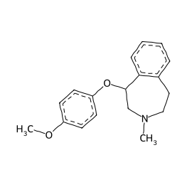 COc1ccc(OC2CN(C)CCc3ccccc32)cc1